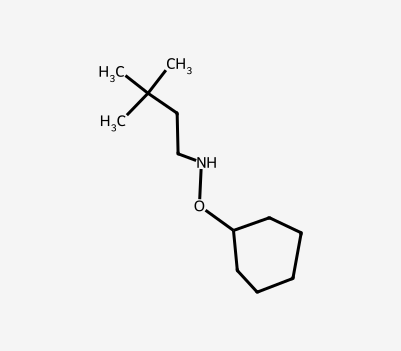 CC(C)(C)CCNOC1CCCCC1